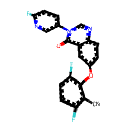 N#Cc1c(F)ccc(F)c1Oc1ccc2ncn(-c3ccc(F)nc3)c(=O)c2c1